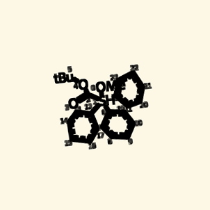 CO[SH](C(=O)OC(C)(C)C)(c1ccccc1)(c1ccccc1)c1ccccc1